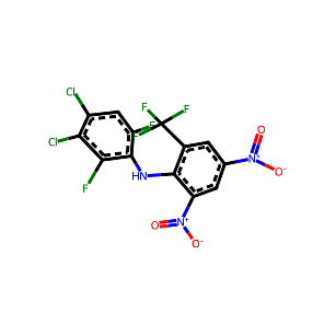 O=[N+]([O-])c1cc([N+](=O)[O-])c(Nc2c(F)cc(Cl)c(Cl)c2F)c(C(F)(F)F)c1